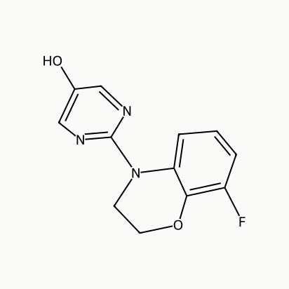 Oc1cnc(N2CCOc3c(F)cccc32)nc1